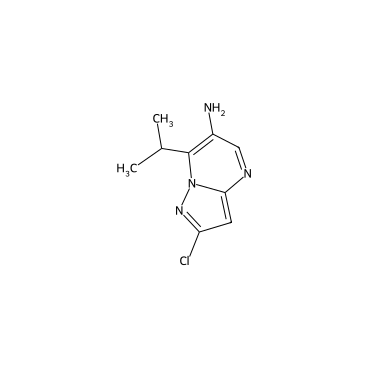 CC(C)c1c(N)cnc2cc(Cl)nn12